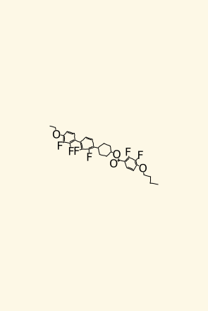 CCCCOc1ccc(C(=O)OC2CCC(c3ccc(-c4ccc(OCC)c(F)c4F)c(F)c3F)CC2)c(F)c1F